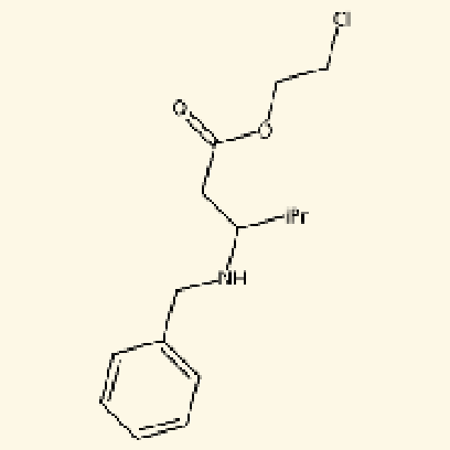 CC(C)C(CC(=O)OCCCl)NCc1ccccc1